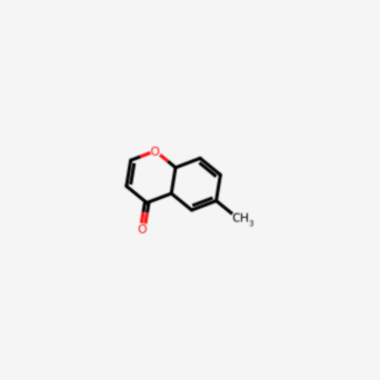 CC1=CC2C(=O)C=COC2C=C1